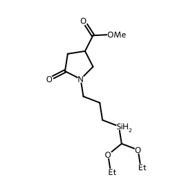 CCOC(OCC)[SiH2]CCCN1CC(C(=O)OC)CC1=O